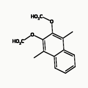 Cc1c(OC(=O)O)c(OC(=O)O)c(C)c2ccccc12